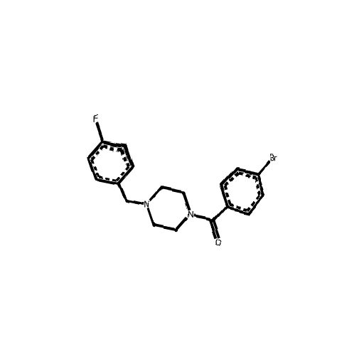 O=C(c1ccc(Br)cc1)N1CCN(Cc2ccc(F)cc2)CC1